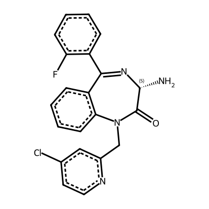 N[C@H]1N=C(c2ccccc2F)c2ccccc2N(Cc2cc(Cl)ccn2)C1=O